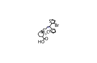 Cn1cccc1/C(=C\CCN1CCCC(C(=O)O)C1)c1sccc1Br